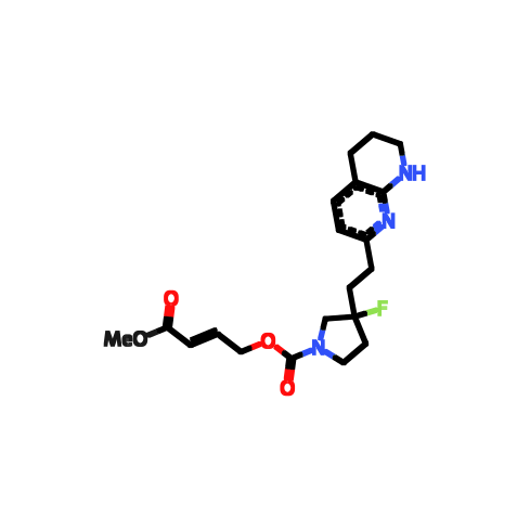 COC(=O)/C=C/COC(=O)N1CCC(F)(CCc2ccc3c(n2)NCCC3)C1